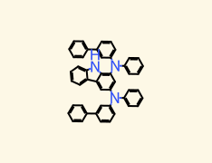 c1ccc(-c2cccc(N(c3ccccc3)c3cc(N(c4ccccc4)c4cccc(-c5ccccc5)c4)c4[nH]c5ccccc5c4c3)c2)cc1